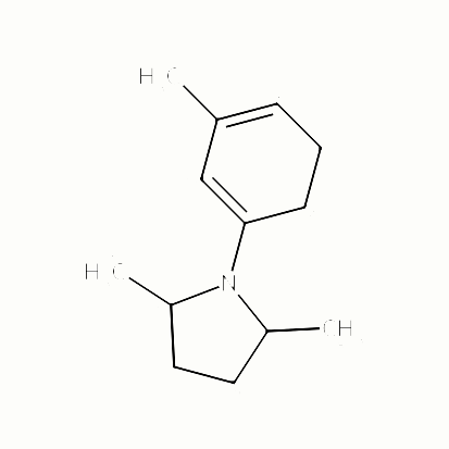 CC1=CC[CH]C(N2C(C)CCC2C)=C1